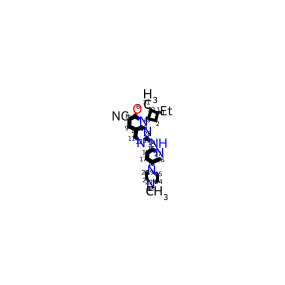 CCC1CC(n2c(=O)c(C#N)cc3cnc(Nc4ccc(N5CCN(C)CC5)cn4)nc32)[C@H]1C